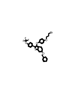 FC(F)(F)Oc1ccc(-c2sc3cc(OCc4ccccc4)ccc3c2Oc2ccc(OCCCBr)cc2)cc1